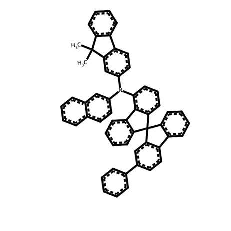 CC1(C)c2ccccc2-c2ccc(N(c3ccc4ccccc4c3)c3cccc4c3-c3ccccc3C43c4ccccc4-c4ccc(-c5ccccc5)cc43)cc21